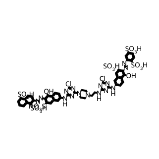 O=S(=O)(O)c1ccc(S(=O)(=O)O)c(/N=N/c2c(S(=O)(=O)O)cc3cc(Nc4nc(Cl)nc(NCCN5CCN(c6nc(Cl)nc(Nc7ccc8c(O)c(/N=N/c9ccc%10c(S(=O)(=O)O)cccc%10c9S(=O)(=O)O)c(S(=O)(=O)O)cc8c7)n6)CC5)n4)ccc3c2O)c1